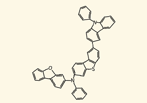 c1ccc(N(c2ccc3c(c2)oc2ccccc23)c2ccc3c(c2)sc2ccc(-c4ccc5c(c4)c4ccccc4n5-c4ccccc4)cc23)cc1